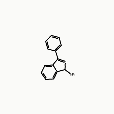 CCCC1N=C(c2ccccc2)c2ccccc21